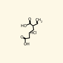 C=CC(CCCC(=O)O)C(=O)O.Cl